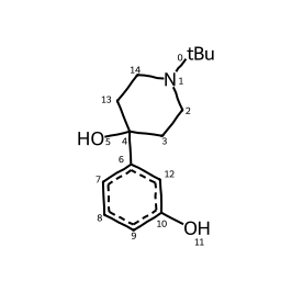 CC(C)(C)N1CCC(O)(c2cccc(O)c2)CC1